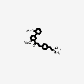 COc1ccc(-c2ccccc2OC)cc1C(=O)/C=C/c1ccc(CCN(C)C)cc1